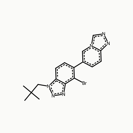 CC(C)(C)Cn1nnc2c(Br)c(-c3ccc4nncn4c3)ccc21